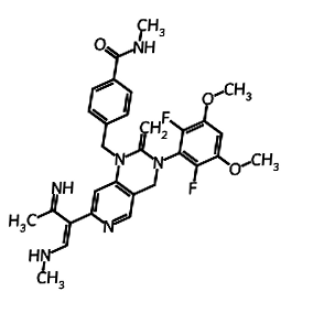 C=C1N(Cc2ccc(C(=O)NC)cc2)c2cc(/C(=C/NC)C(C)=N)ncc2CN1c1c(F)c(OC)cc(OC)c1F